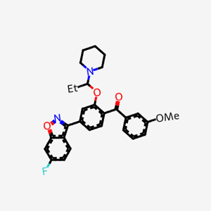 CCC(Oc1cc(-c2noc3cc(F)ccc23)ccc1C(=O)c1cccc(OC)c1)N1CCCCC1